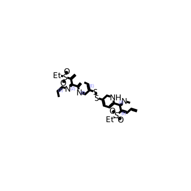 C=C/C=C(\C(=N/C)C1=CC=C(SSC(/C=N\C(=C)/C(=N/C=C\C)C(=C)S(=O)(=O)CC)=C/C)CN1)S(=O)(=O)CC